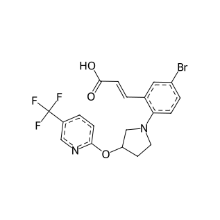 O=C(O)/C=C/c1cc(Br)ccc1N1CCC(Oc2ccc(C(F)(F)F)cn2)C1